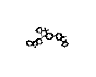 CC1(C)c2ccccc2N(c2ccc3sc4ccccc4c3c2)c2ccc(-c3ccc4oc5ccccc5c4c3)cc21